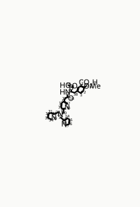 COc1ccc2c(c1C(=O)O)OB(O)[C@@H](NC(=O)Cc1ccc(CN(Cc3ccccn3)Cc3ccccn3)nc1)C2